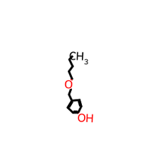 CCCCCOCCc1ccc(O)cc1